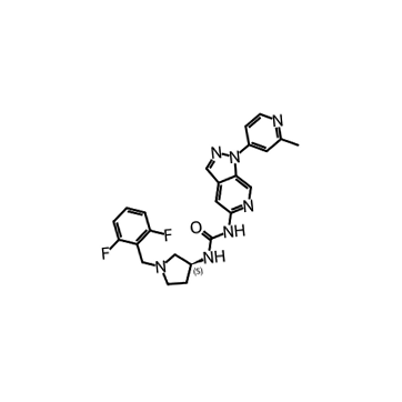 Cc1cc(-n2ncc3cc(NC(=O)N[C@H]4CCN(Cc5c(F)cccc5F)C4)ncc32)ccn1